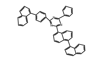 c1ccc(-c2nc(-c3ccc(-c4cccc5ccccc45)cc3)nc(-c3cccc4c(-c5cccc6ccccc56)cccc34)n2)cc1